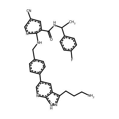 CC(NC(=O)c1cc(C#N)cnc1NCc1ccc(-c2cnc3[nH]nc(CCCN)c3c2)cc1)c1ccc(F)cc1